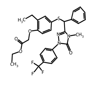 CCOC(=O)COc1ccc(SC(c2ccccc2)c2nn(-c3ccc(C(F)(F)F)cc3)c(=O)n2C)cc1CC